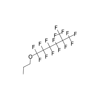 CCCOC(F)(F)C(F)(F)C(F)(F)C(F)(F)C(F)(C(F)(F)F)C(F)(F)F